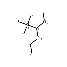 [CH2]OC(OCC)[Si](C)(C)C